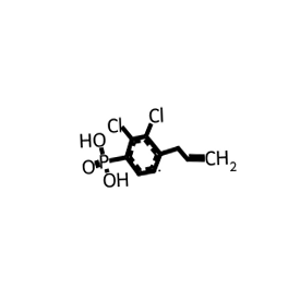 C=CCc1[c]cc(P(=O)(O)O)c(Cl)c1Cl